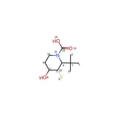 CC(C)(C)C1[C@H](F)C(O)CCN1C(=O)O